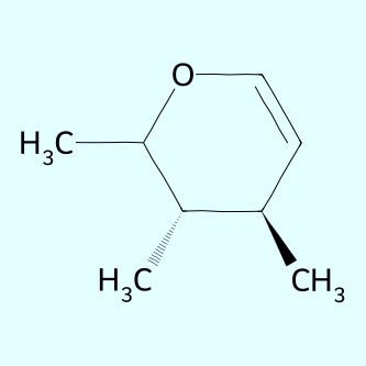 CC1OC=C[C@@H](C)[C@@H]1C